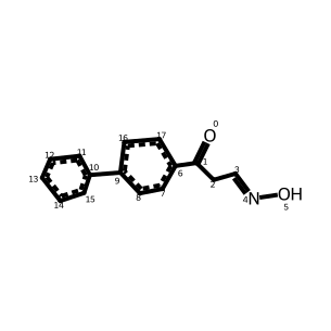 O=C(CC=NO)c1ccc(-c2ccccc2)cc1